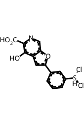 O=C(O)c1ncc2oc(-c3cccc([SH](Cl)Cl)c3)cc2c1O